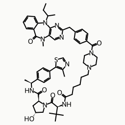 CCC(C)N1c2ccccc2C(=O)N(C)c2cnc(Cc3ccc(C(=O)N4CCN(CCCCCC(=O)N[C@H](C(=O)N5C[C@H](O)C[C@H]5C(=O)N[C@@H](C)c5ccc(-c6scnc6C)cc5)C(C)(C)C)CC4)cc3)nc21